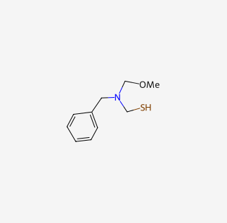 COCN(CS)Cc1ccccc1